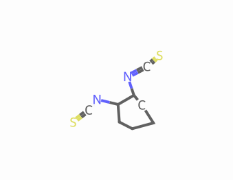 S=C=NC1CCCCC1N=C=S